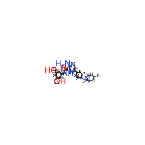 CC1CCN(Cc2ccc(-c3cnc(N)c(C(=O)Nc4cc(O)cc(O)c4)n3)cc2)CC1